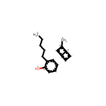 CCCCCc1ccccc1O.Cc1cc2ccc1-2